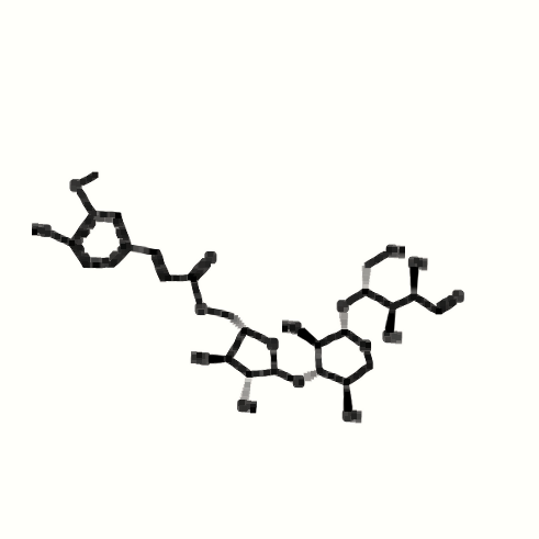 COc1cc(/C=C/C(=O)OC[C@@H]2OC(O[C@@H]3[C@@H](O)[C@H](O[C@H](CO)[C@H](O)[C@@H](O)C=O)OC[C@H]3O)[C@H](O)[C@H]2O)ccc1O